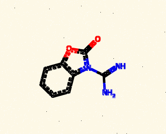 N=C(N)n1c(=O)oc2ccccc21